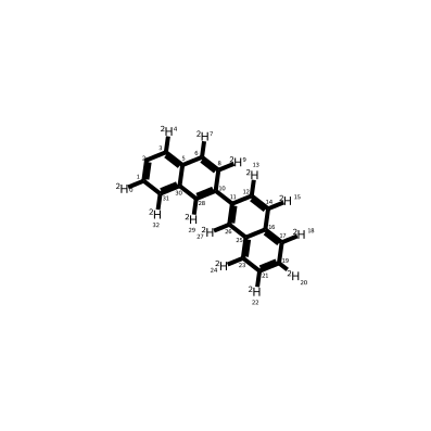 [2H]c1cc([2H])c2c([2H])c([2H])c(-c3c([2H])c([2H])c4c([2H])c([2H])c([2H])c([2H])c4c3[2H])c([2H])c2c1[2H]